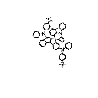 C[Si](C)(C)c1ccc(N(c2ccccc2)c2ccc3c(c2)[C@@]2(c4ccccc4-n4c5ccccc5c5cccc2c54)c2cc(N(c4ccccc4)c4ccc([Si](C)(C)C)cc4)c4ccccc4c2-3)cc1